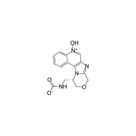 O=C([O-])NC[C@H]1COCc2nc3c[n+](O)c4ccccc4c3n21